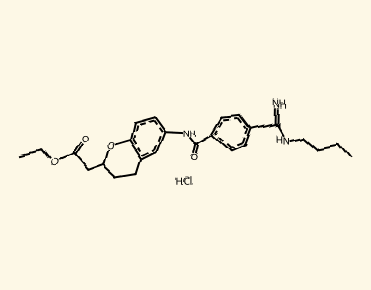 CCCCNC(=N)c1ccc(C(=O)Nc2ccc3c(c2)CCC(CC(=O)OCC)O3)cc1.Cl